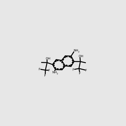 CC(O)(c1cc2cc(N)c(C(C)(O)C(F)(F)F)cc2cc1N)C(F)(F)F